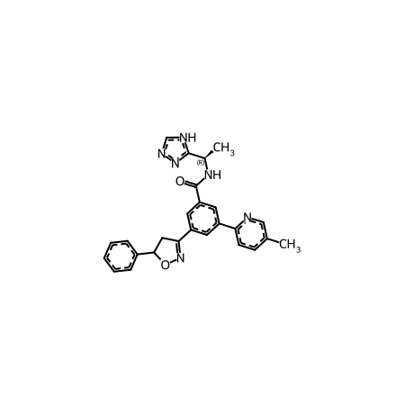 Cc1ccc(-c2cc(C(=O)N[C@H](C)c3nnc[nH]3)cc(C3=NOC(c4ccccc4)C3)c2)nc1